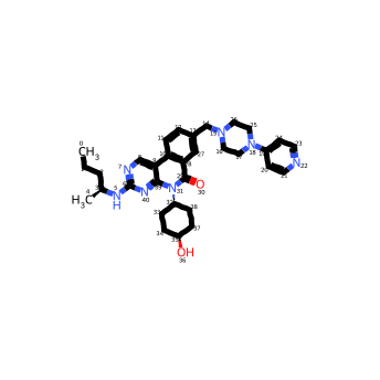 CCC[C@H](C)Nc1ncc2c3ccc(CN4CCN(c5ccncc5)CC4)cc3c(=O)n([C@H]3CC[C@H](O)CC3)c2n1